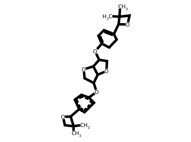 CC1(C)COC1C1=CC=C(OC2COC3C(Oc4ccc(C5OCC5(C)C)cc4)COC23)CC1